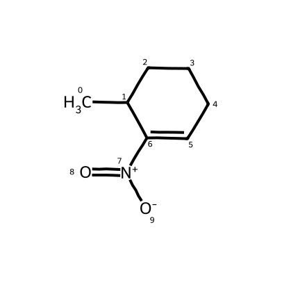 CC1CCCC=C1[N+](=O)[O-]